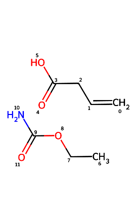 C=CCC(=O)O.CCOC(N)=O